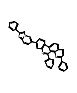 c1ccc(-c2ccc3ccc4c5ccc(-c6ccc7nc(-c8ccccc8)cn7c6)cc5nc(-c5ccccc5)c4c3n2)cc1